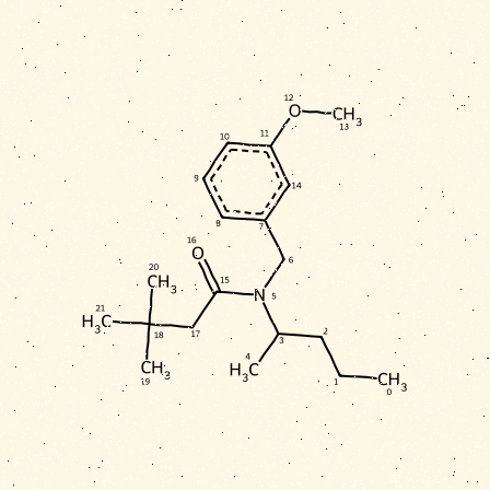 CCCC(C)N(Cc1cccc(OC)c1)C(=O)CC(C)(C)C